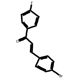 O=C(C=Cc1ccc(Br)cc1)c1ccc(F)cc1